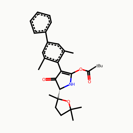 Cc1cc(-c2ccccc2)cc(C)c1C1=C(OC(=O)C(C)(C)C)N[C@H](C2(C)CCC(C)(C)O2)C1=O